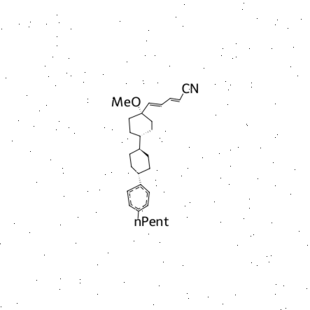 CCCCCc1ccc([C@H]2CC[C@H]([C@H]3CC[C@@](C=CC=CC#N)(OC)CC3)CC2)cc1